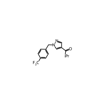 CC(C)C(=O)c1cnn(Cc2ccc(C(F)(F)F)cc2)c1